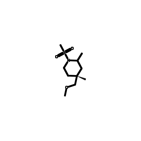 COC[C@@]1(C)CCN(S(C)(=O)=O)C(C)C1